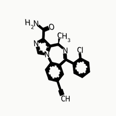 C#Cc1ccc2c(c1)C(c1ccccc1Cl)=N[C@H](C)c1c(C(N)=O)ncn1-2